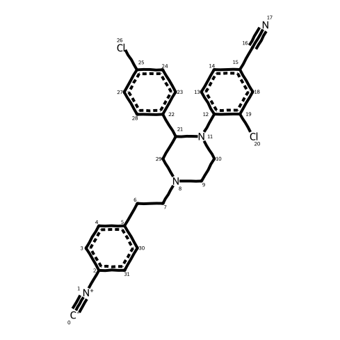 [C-]#[N+]c1ccc(CCN2CCN(c3ccc(C#N)cc3Cl)C(c3ccc(Cl)cc3)C2)cc1